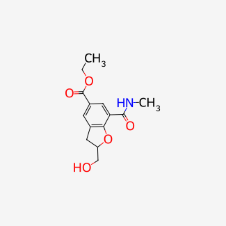 CCOC(=O)c1cc2c(c(C(=O)NC)c1)OC(CO)C2